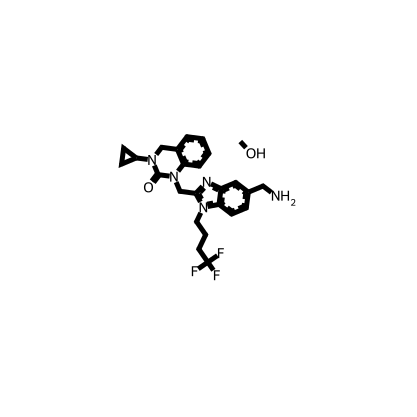 CO.NCc1ccc2c(c1)nc(CN1C(=O)N(C3CC3)Cc3ccccc31)n2CCCC(F)(F)F